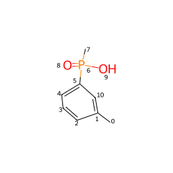 Cc1cccc(P(C)(=O)O)c1